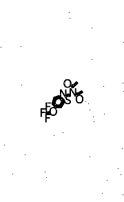 CC(=O)N(C(C)=O)c1nc2ccc(OC(F)(F)F)cc2s1